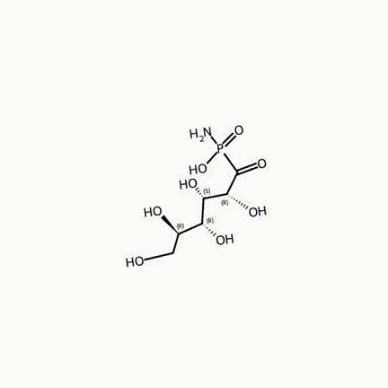 NP(=O)(O)C(=O)[C@H](O)[C@@H](O)[C@H](O)[C@H](O)CO